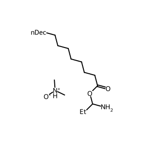 CCCCCCCCCCCCCCCCCC(=O)OC(N)CC.C[NH+](C)[O-]